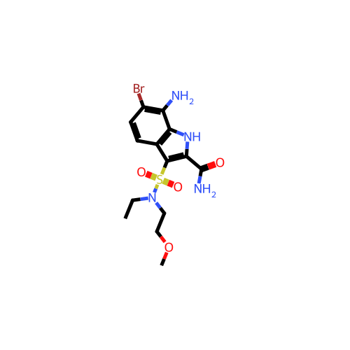 CCN(CCOC)S(=O)(=O)c1c(C(N)=O)[nH]c2c(N)c(Br)ccc12